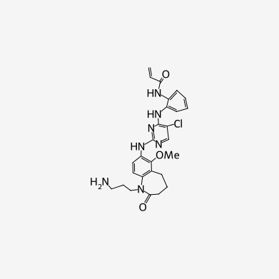 C=CC(=O)Nc1ccccc1Nc1nc(Nc2ccc3c(c2OC)CCCC(=O)N3CCCN)ncc1Cl